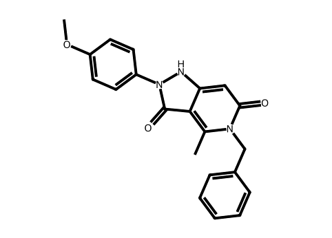 COc1ccc(-n2[nH]c3cc(=O)n(Cc4ccccc4)c(C)c3c2=O)cc1